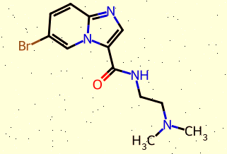 CN(C)CCNC(=O)c1cnc2ccc(Br)cn12